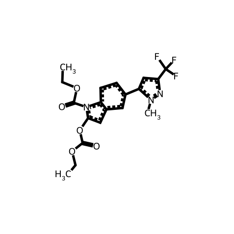 CCOC(=O)Oc1cc2cc(-c3cc(C(F)(F)F)nn3C)ccc2n1C(=O)OCC